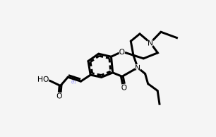 CCCCN1C(=O)c2cc(/C=C/C(=O)O)ccc2OC12CCN(CC)CC2